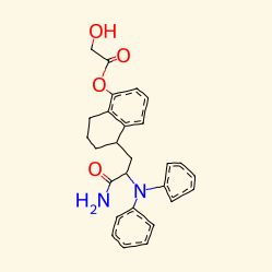 NC(=O)C(CC1CCCc2c(OC(=O)CO)cccc21)N(c1ccccc1)c1ccccc1